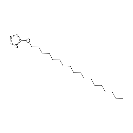 CCCCCCCCCCCCCCCCCCOc1cccs1